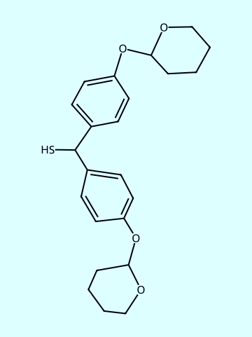 SC(c1ccc(OC2CCCCO2)cc1)c1ccc(OC2CCCCO2)cc1